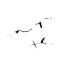 C=CCOC(=O)CN.O=C(O)C(F)(F)F